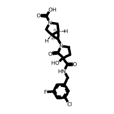 O=C(O)N1C[C@@H]2C(N3CCC(O)(C(=O)NCc4cc(F)cc(Cl)c4)C3=O)[C@@H]2C1